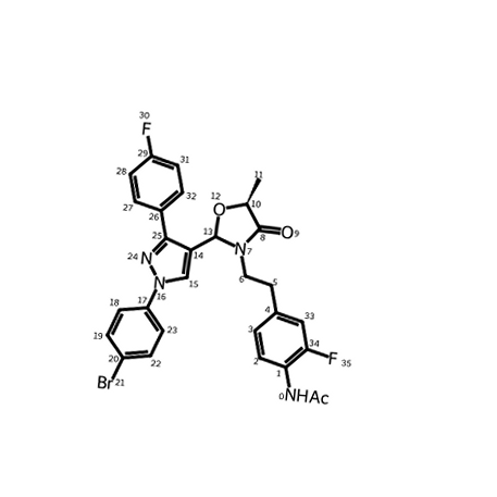 CC(=O)Nc1ccc(CCN2C(=O)[C@H](C)OC2c2cn(-c3ccc(Br)cc3)nc2-c2ccc(F)cc2)cc1F